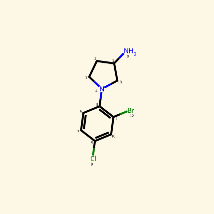 NC1CCN(c2ccc(Cl)cc2Br)C1